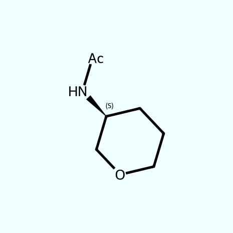 CC(=O)N[C@H]1CCCOC1